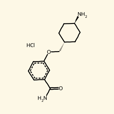 Cl.NC(=O)c1cccc(OC[C@H]2CC[C@H](N)CC2)c1